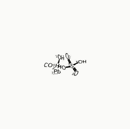 O=C(O)O.O=S(=O)(O)O.[Pb]